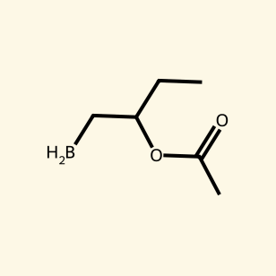 BCC(CC)OC(C)=O